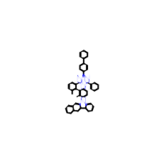 Cc1cccc(-c2nc(-c3ccccc3)nc(-c3ccc(-c4ccccc4)cc3)n2)c1-c1cccc(-n2c3ccccc3c3cc4ccccc4cc32)c1C